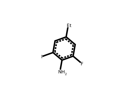 CCc1cc(F)c(N)c(I)c1